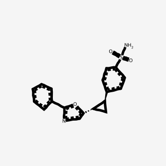 NS(=O)(=O)c1ccc([C@H]2C[C@@H]2c2cnc(-c3ccccc3)o2)cc1